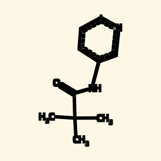 CC(C)(C)C(=O)Nc1cc[c]nc1